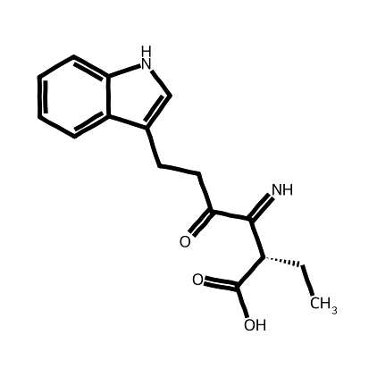 CC[C@@H](C(=N)C(=O)CCc1c[nH]c2ccccc12)C(=O)O